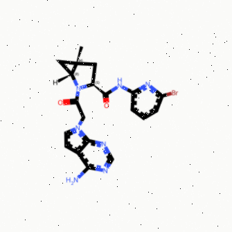 C[C@@]12C[C@@H](C(=O)Nc3cccc(Br)n3)N(C(=O)Cn3ccc4c(N)ncnc43)[C@@H]1C2